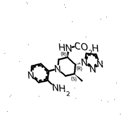 C[C@H]1CN(c2ccncc2N)C[C@@H](NC(=O)O)[C@@H]1n1ccnn1